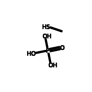 CS.O=P(O)(O)O